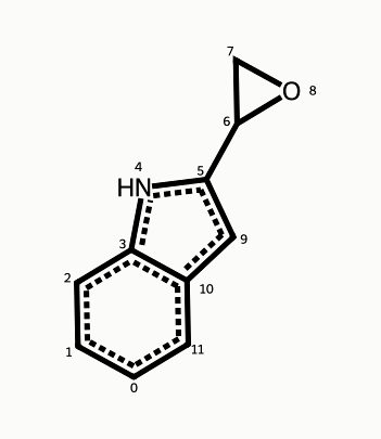 c1ccc2[nH]c(C3CO3)cc2c1